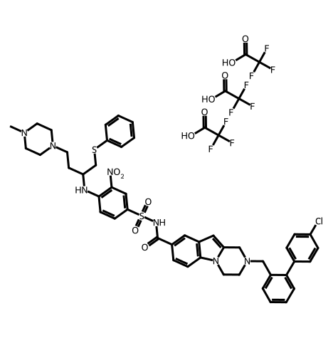 CN1CCN(CCC(CSc2ccccc2)Nc2ccc(S(=O)(=O)NC(=O)c3ccc4c(c3)cc3n4CCN(Cc4ccccc4-c4ccc(Cl)cc4)C3)cc2[N+](=O)[O-])CC1.O=C(O)C(F)(F)F.O=C(O)C(F)(F)F.O=C(O)C(F)(F)F